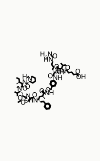 CC[C@H](C)[C@H](NC(=O)[C@H]1CCCCN1C)C(=O)N(C)[C@H](C[C@@H](OC(C)=O)c1nc(C(=O)N[C@@H](CCc2ccccc2)C[C@H](C)C(=O)NOCc2ccc(NC(=O)[C@H](CCCCNC(N)=O)NC(=O)[C@@H](NC(=O)CCCC(=O)O)C(C)C)cc2)cs1)C(C)C